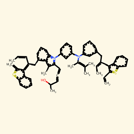 C=Cc1sc2ccccc2c1/C(=C\C)Cc1cccc(N(C(C)=C(C)C)c2cccc(-n3c(C=C=CC(C)O)c(C)c4c(CC(/C=C\C)=c5/c(=C)sc6ccccc56)cccc43)c2)c1